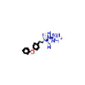 N=C(N)NC(=N)NCCc1ccc(Oc2ccccc2)cc1